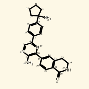 Nc1ncc(-c2ccc(C3(N)CCCC3)cc2)nc1-c1ccc2c(c1)CCNC2=O